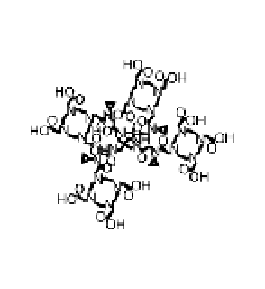 O=C(O)CN1CCN(CC(=O)O)CCN(CC(=O)N(CC(=O)NCC(CNC(=O)CN(C(=O)CN2CCN(CC(=O)O)CCN(CC(=O)O)CCN(CC(=O)O)CC2)C2CC2)(CNC(=O)CN(C(=O)CN2CCN(CC(=O)O)CCN(CC(=O)O)CCN(CC(=O)O)CC2)C2CC2)CNC(O)CN(C(=O)CN2CCN(CC(=O)O)CCN(CC(=O)O)CCN(CC(=O)O)CC2)C2CC2)C2CC2)CCN(CC(=O)O)CC1